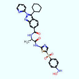 C[C@@H](NC(=O)c1ccc2c(C3CCCCC3)n(-c3ccccn3)nc2c1)C(=O)Nc1ncc(S(=O)(=O)c2ccc(NO)cc2)s1